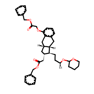 CC[C@@H](CC[C@H]1[C@H](CC(=O)OCc2ccccc2)C[C@@H]2Cc3c(cccc3OCC(=O)OCc3ccccc3)C[C@@H]21)OC1CCCCO1